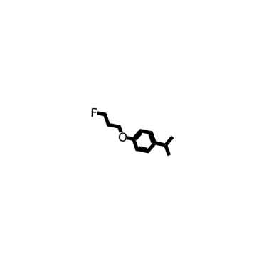 CC(C)c1ccc(OCCCF)cc1